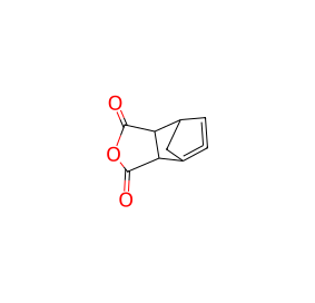 O=C1OC(=O)C2C3C=C=C(C3)C12